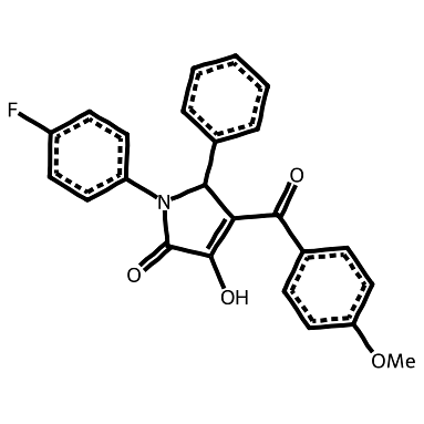 COc1ccc(C(=O)C2=C(O)C(=O)N(c3ccc(F)cc3)C2c2ccccc2)cc1